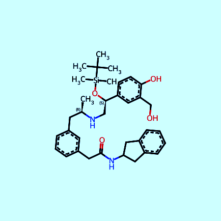 C[C@H](Cc1cccc(CC(=O)NC2Cc3ccccc3C2)c1)NC[C@@H](O[Si](C)(C)C(C)(C)C)c1ccc(O)c(CO)c1